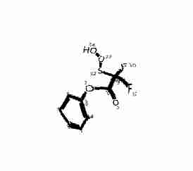 O=C(Oc1ccccc1)C(F)(F)SOO